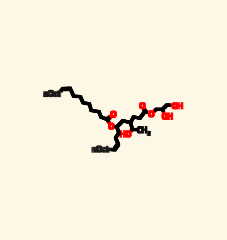 CCCCCCCC/C=C\CCCCCCCC(=O)OC(CC/C=C\CCCCCCCC)CC(CCC(=O)OCC(O)CO)C(C)O